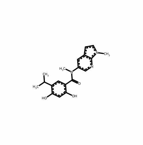 CC(C)c1cc(C(=O)N(C)c2cnc3c(ccn3C)c2)c(O)cc1O